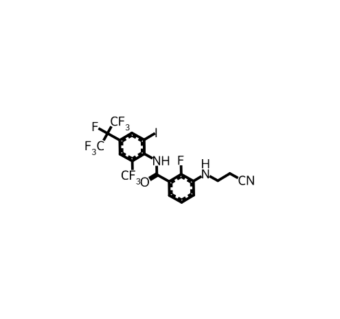 N#CCCNc1cccc(C(=O)Nc2c(I)cc(C(F)(C(F)(F)F)C(F)(F)F)cc2C(F)(F)F)c1F